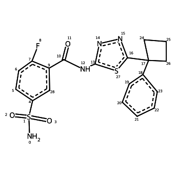 NS(=O)(=O)c1ccc(F)c(C(=O)Nc2nnc(C3(c4ccccc4)CCC3)s2)c1